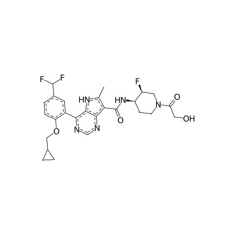 Cc1[nH]c2c(-c3cc(C(F)F)ccc3OCC3CC3)ncnc2c1C(=O)N[C@@H]1CCN(C(=O)CO)C[C@@H]1F